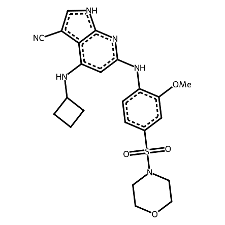 COc1cc(S(=O)(=O)N2CCOCC2)ccc1Nc1cc(NC2CCC2)c2c(C#N)c[nH]c2n1